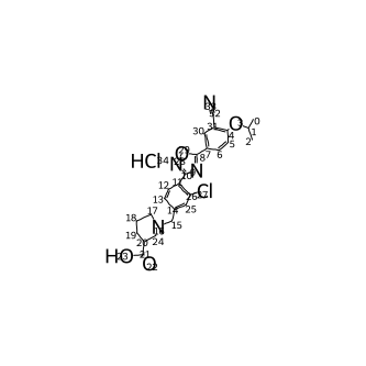 CC(C)Oc1ccc(-c2nc(-c3ccc(CN4CCCC(C(=O)O)C4)cc3Cl)no2)cc1C#N.Cl